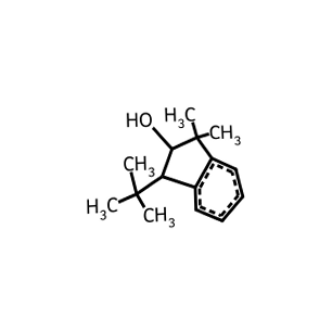 CC(C)(C)C1c2ccccc2C(C)(C)C1O